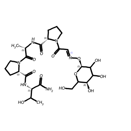 CC(O)[C@H](NC(=O)[C@@H]1CCCN1C(=O)[C@H](C)NC(=O)[C@@H]1CCCN1C(=O)/C=N/O[C@@H]1OC(CO)[C@H](O)C(O)C1O)C(N)=O